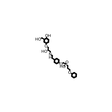 O=P(O)(CCCOc1ccccc1)COc1ccc(CCNC[C@H](O)COc2ccc(O)c(CO)c2)cc1